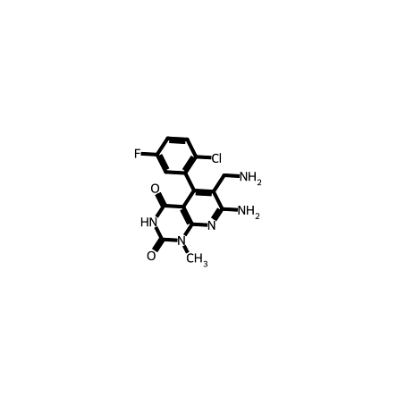 Cn1c(=O)[nH]c(=O)c2c(-c3cc(F)ccc3Cl)c(CN)c(N)nc21